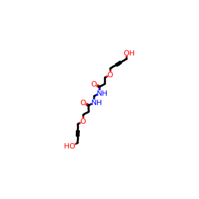 O=C(CCOCC#CCO)NCNC(=O)CCOCC#CCO